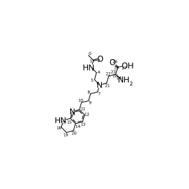 CC(=O)NCCN(CCCCc1ccc2c(n1)NCCC2)CC[C@H](N)C(=O)O